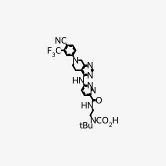 CC(C)(C)N(CCNC(=O)c1ccc(Nc2ncnc3c2CCN(c2ccc(C#N)c(C(F)(F)F)c2)C3)nn1)C(=O)O